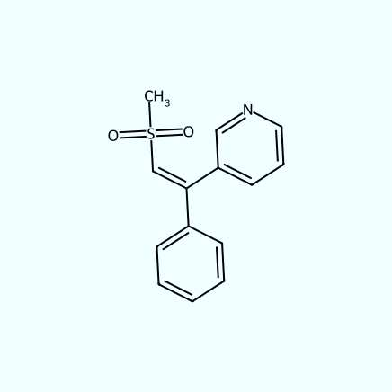 CS(=O)(=O)C=C(c1ccccc1)c1cccnc1